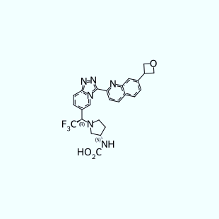 O=C(O)N[C@H]1CCN([C@H](c2ccc3nnc(-c4ccc5ccc(C6COC6)cc5n4)n3c2)C(F)(F)F)C1